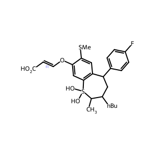 CCCCC1CC(c2ccc(F)cc2)c2cc(SC)c(O/C=C/C(=O)O)cc2S(O)(O)C1C